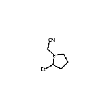 CCC1CCCN1CC#N